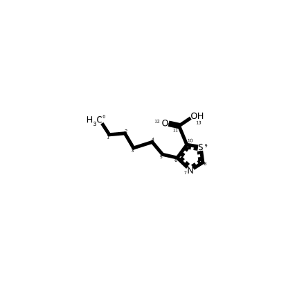 CCCCCCc1ncsc1C(=O)O